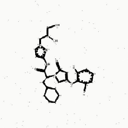 O=C(Nc1ccn(C[C@H](O)CO)n1)[C@H](CC1CCCCC1)N1CC(Oc2c(F)cccc2F)=CC1=O